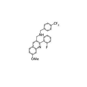 COc1ccc2cc(CNCc3ccc(C(F)(F)F)cc3)c(-c3ccccc3F)nc2c1